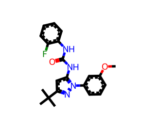 COc1cccc(-n2nc(C(C)(C)C)cc2NC(=O)Nc2ccccc2F)c1